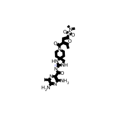 Cc1oc(S(=O)(=O)N(C)C)cc1C(=O)N1CCC2(CC1)CN/C(=N\C(=O)c1nc(I)c(N)nc1N)N2